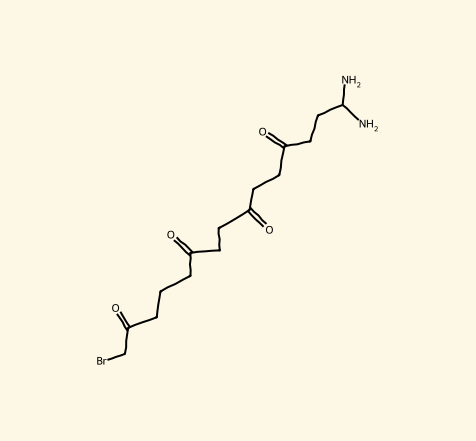 NC(N)CCC(=O)CCC(=O)CCC(=O)CCCC(=O)CBr